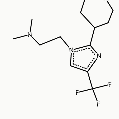 CN(C)CCn1cc(C(F)(F)F)nc1C1CCNCC1